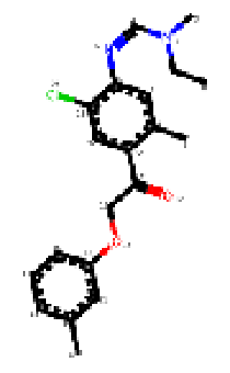 CCN(C)/C=N\c1cc(C)c(C(=O)COc2cccc(C)c2)cc1Cl